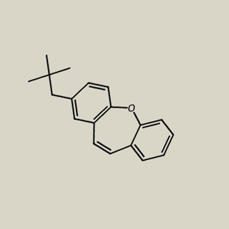 CC(C)(C)Cc1ccc2c(c1)C=Cc1ccccc1O2